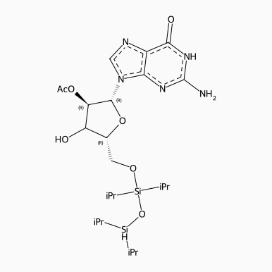 CC(=O)O[C@@H]1C(O)[C@@H](CO[Si](O[SiH](C(C)C)C(C)C)(C(C)C)C(C)C)O[C@H]1n1cnc2c(=O)[nH]c(N)nc21